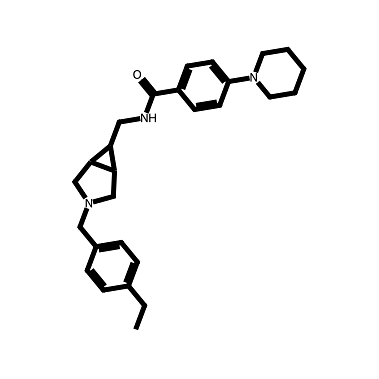 CCc1ccc(CN2CC3C(CNC(=O)c4ccc(N5CCCCC5)cc4)C3C2)cc1